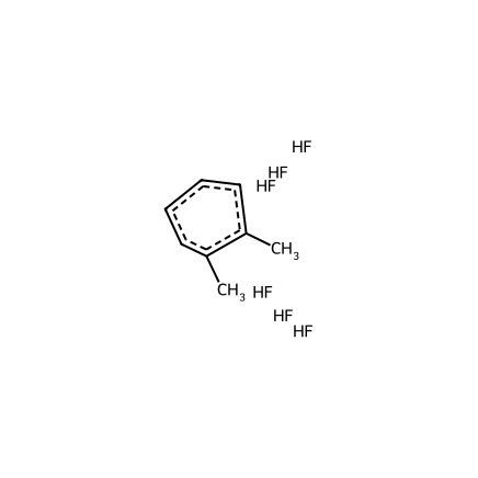 Cc1ccccc1C.F.F.F.F.F.F